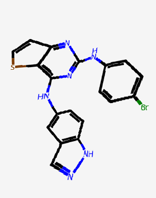 Brc1ccc(Nc2nc(Nc3ccc4[nH]ncc4c3)c3sccc3n2)cc1